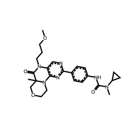 COCCCN1C(=O)C2(C)COCCN2c2nc(-c3ccc(NC(=O)N(C)C4CC4)cc3)ncc21